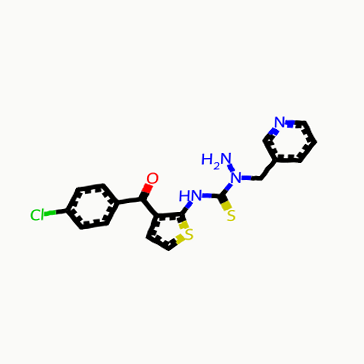 NN(Cc1cccnc1)C(=S)Nc1sccc1C(=O)c1ccc(Cl)cc1